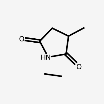 CC.CC1CC(=O)NC1=O